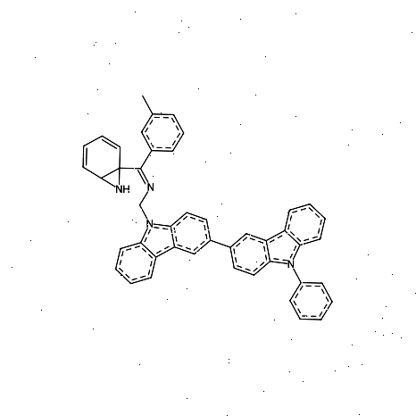 Cc1cccc(/C(=N/Cn2c3ccccc3c3cc(-c4ccc5c(c4)c4ccccc4n5-c4ccccc4)ccc32)C23C=CC=CC2N3)c1